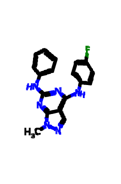 Cn1ncc2c(Nc3ccc(F)cc3)nc(Nc3ccccc3)nc21